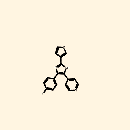 Fc1ccc(-c2nc(-c3ccsc3)[nH]c2-c2ccncc2)cc1